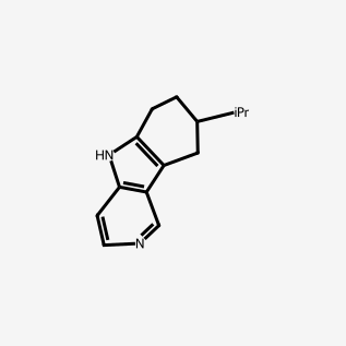 CC(C)C1CCc2[nH]c3ccncc3c2C1